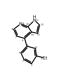 CCc1cccc(-c2ccnc3[nH]ccc23)c1